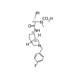 CC(C)C[C@@H](C(=O)N[C@H]1CC[C@@H]2CN(Cc3ccc(F)cc3)C[C@@H]21)N(C)C(=O)O